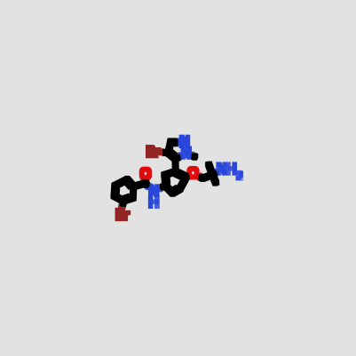 Cn1ncc(Br)c1-c1cc(NC(=O)c2cccc(Br)c2)ccc1OCC(C)(C)N